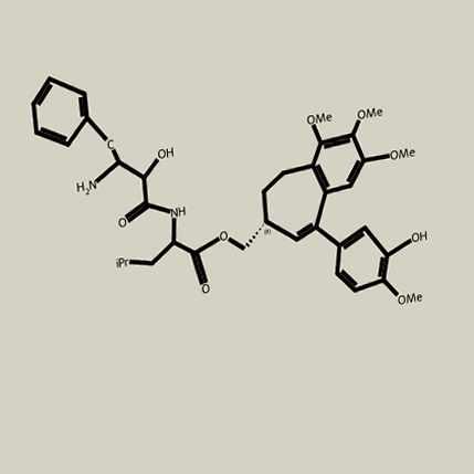 COc1ccc(C2=C[C@H](COC(=O)C(CC(C)C)NC(=O)C(O)C(N)Cc3ccccc3)CCc3c2cc(OC)c(OC)c3OC)cc1O